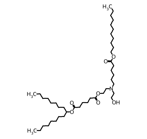 CCCCCCCCCCCOC(=O)CCCCCN(CCO)CCOC(=O)CCCCC(=O)OC(CCCCCCCC)CCCCCCCC